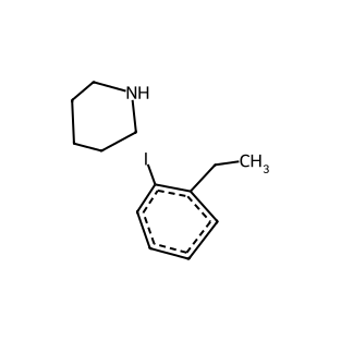 C1CCNCC1.CCc1ccccc1I